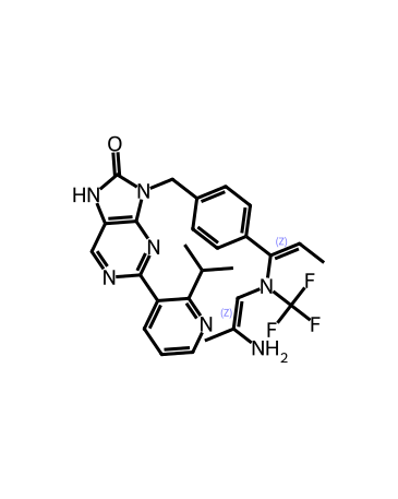 C/C=C(/c1ccc(Cn2c(=O)[nH]c3cnc(-c4cccnc4C(C)C)nc32)cc1)N(/C=C(/C)N)C(F)(F)F